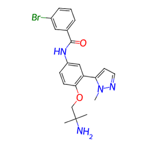 Cn1nccc1-c1cc(NC(=O)c2cccc(Br)c2)ccc1OCC(C)(C)N